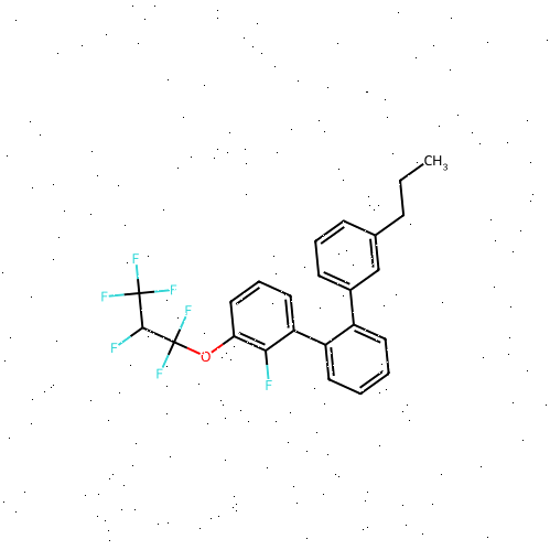 CCCc1cccc(-c2ccccc2-c2cccc(OC(F)(F)C(F)C(F)(F)F)c2F)c1